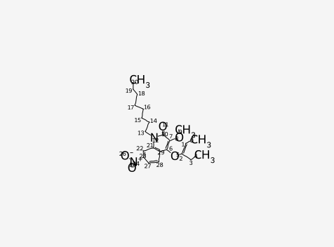 CC=C(CC)Oc1c(OC)c(=O)n(CCCCCCCC)c2cc([N+](=O)[O-])ccc12